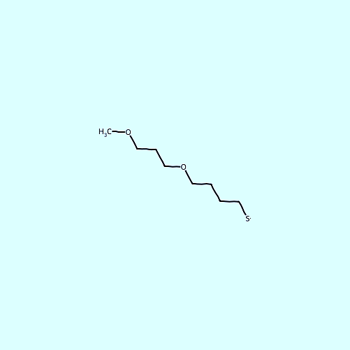 COCCCOCCCC[S]